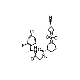 C[C@H](C(=O)N[C@H](C)c1ccc(Cl)cc1F)N(C)C(=O)[C@H]1CCCN(S(=O)(=O)N2CC(C#N)C2)C1